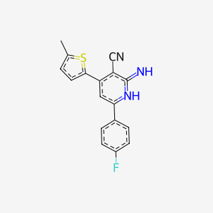 Cc1ccc(-c2cc(-c3ccc(F)cc3)[nH]c(=N)c2C#N)s1